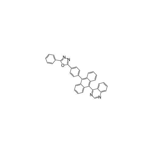 c1ccc(-c2nnc(-c3ccc(-c4c5ccccc5c(-c5ncnc6ccccc56)c5ccccc45)cc3)o2)cc1